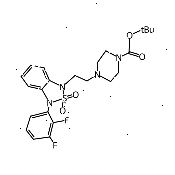 CC(C)(C)OC(=O)N1CCN(CCN2c3ccccc3N(c3cccc(F)c3F)S2(=O)=O)CC1